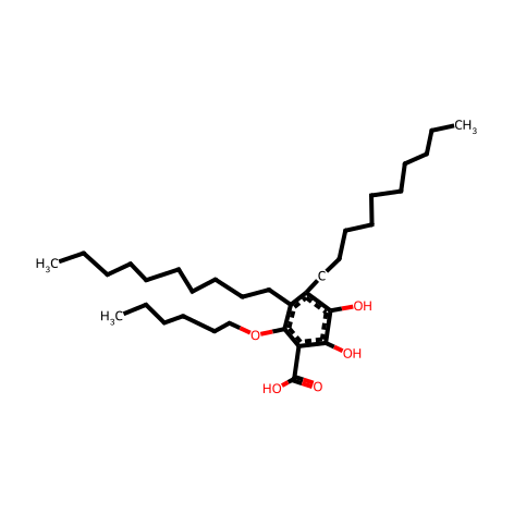 CCCCCCCCCCc1c(O)c(O)c(C(=O)O)c(OCCCCCC)c1CCCCCCCCCC